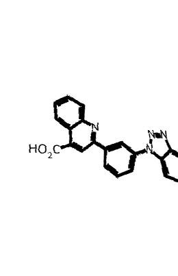 O=C(O)c1cc(-c2cccc(-n3nnc4ccccc43)c2)nc2ccccc12